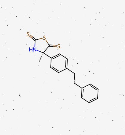 C[C@]1(c2ccc(CCc3ccccc3)cc2)NC(=S)SC1=S